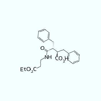 CCOC(=O)CCNC(=O)[C@H](Cc1ccccc1)[C@@H](Cc1ccccc1)C(=O)O